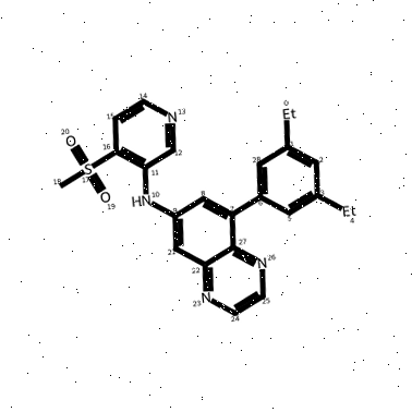 CCc1cc(CC)cc(-c2cc(Nc3cnccc3S(C)(=O)=O)cc3nccnc23)c1